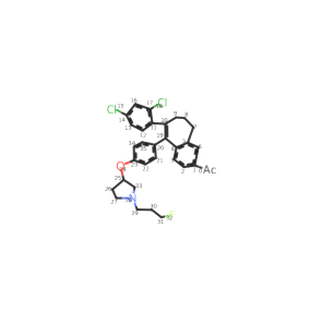 CC(=O)c1ccc2c(c1)CCCC(c1ccc(Cl)cc1Cl)=C2c1ccc(OC2CCN(CCCF)C2)cc1